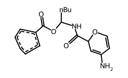 CCCCC(NC(=O)C1C=C(N)C=CO1)OC(=O)c1ccccc1